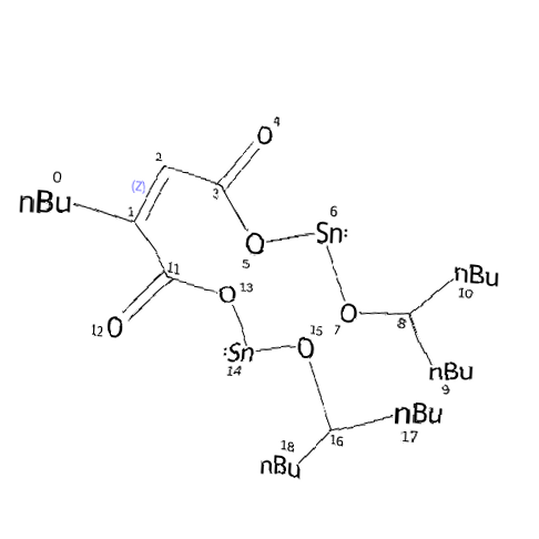 CCCC/C(=C/C(=O)[O][Sn][O]C(CCCC)CCCC)C(=O)[O][Sn][O]C(CCCC)CCCC